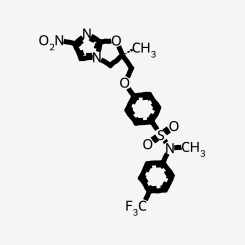 CN(c1ccc(C(F)(F)F)cc1)S(=O)(=O)c1ccc(OC[C@@]2(C)Cn3cc([N+](=O)[O-])nc3O2)cc1